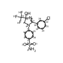 NS(=O)(=O)c1ccc(N2CC(O)(C(F)(F)F)N=C2c2cccc(Cl)c2)cc1